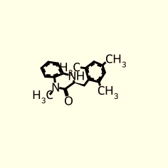 Cc1cc(C)c(C[C@@H]2Nc3ccccc3N(C)C2=O)c(C)c1